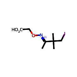 C/C(=N\OCC(=O)O)C(C)(C)CI